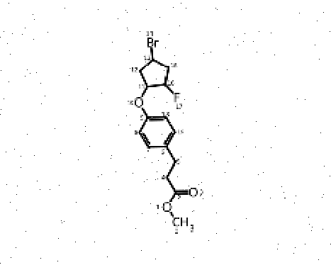 COC(=O)CCc1ccc(OC2CC(Br)CC2F)cc1